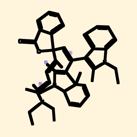 CCN(CC)/C(C)=C/C=C(\C)C1(/C=C(\C2=C(C)N(CC)C3C=CC=CC23C)c2c(C)n(CC)c3ccccc23)OC(=O)c2ccccc21